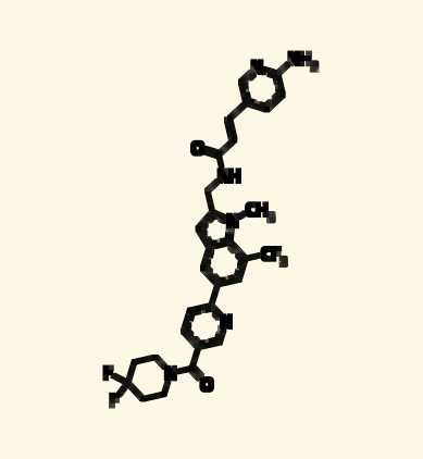 Cn1c(CNC(=O)C=Cc2ccc(N)nc2)cc2cc(-c3ccc(C(=O)N4CCC(F)(F)CC4)cn3)cc(C(F)(F)F)c21